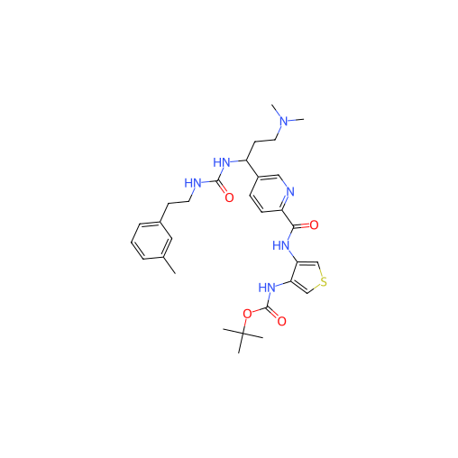 Cc1cccc(CCNC(=O)NC(CCN(C)C)c2ccc(C(=O)Nc3cscc3NC(=O)OC(C)(C)C)nc2)c1